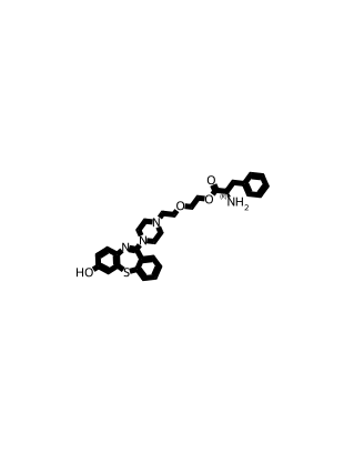 N[C@H](Cc1ccccc1)C(=O)OCCOCCN1CCN(C2=Nc3ccc(O)cc3Sc3ccccc32)CC1